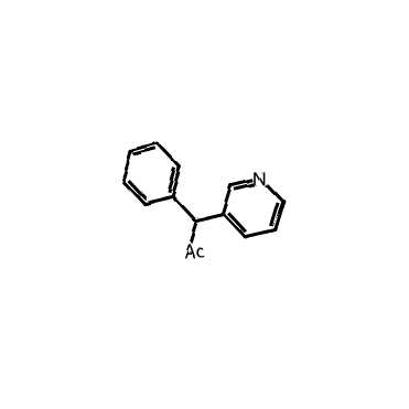 CC(=O)C(c1ccccc1)c1cccnc1